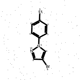 CCc1ccc(-n2cc(Br)cn2)cc1